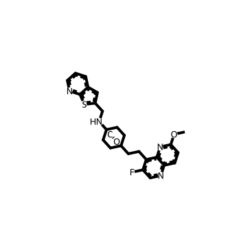 COc1ccc2ncc(F)c(CCC34CCC(NCc5cc6cccnc6s5)(CC3)CO4)c2n1